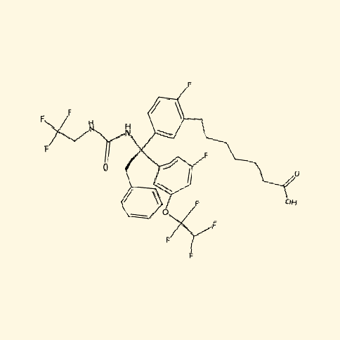 O=C(O)CCCCCCc1cc([C@@](Cc2ccccc2)(NC(=O)NCC(F)(F)F)c2cc(F)cc(OC(F)(F)C(F)F)c2)ccc1F